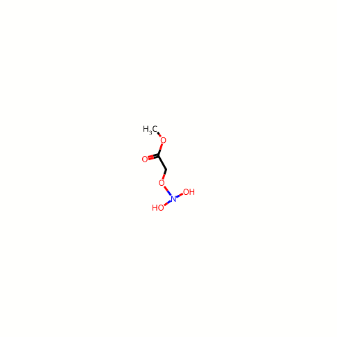 COC(=O)CON(O)O